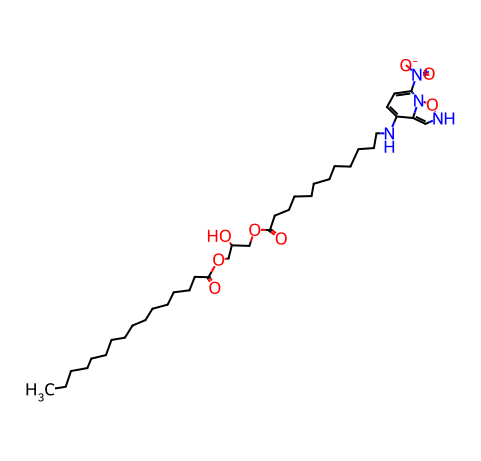 CCCCCCCCCCCCCCCC(=O)OCC(O)COC(=O)CCCCCCCCCCCNC1=CC=C([N+](=O)[O-])N2ONC=C12